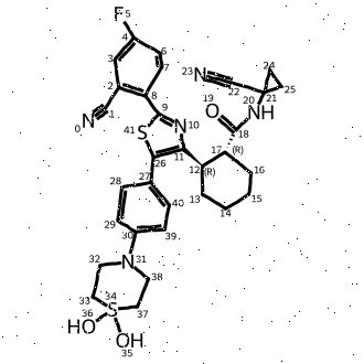 N#Cc1cc(F)ccc1-c1nc([C@@H]2CCCC[C@H]2C(=O)NC2(C#N)CC2)c(-c2ccc(N3CCS(O)(O)CC3)cc2)s1